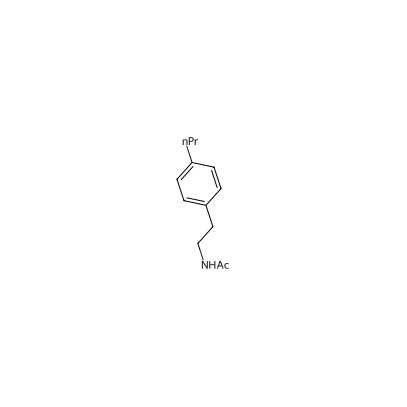 CCCc1ccc(CCNC(C)=O)cc1